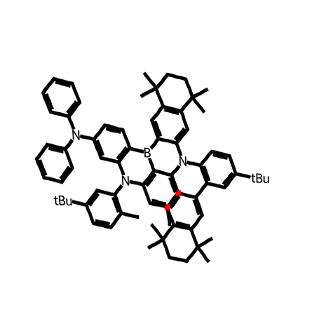 Cc1cc2c3c(c1)N(c1ccc(C(C)(C)C)cc1-c1ccc4c(c1)C(C)(C)CCC4(C)C)c1cc4c(cc1B3c1ccc(N(c3ccccc3)c3ccccc3)cc1N2c1cc(C(C)(C)C)ccc1C)C(C)(C)CCC4(C)C